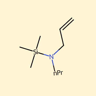 C=CCN(CCC)[Si](C)(C)C